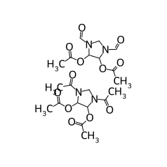 CC(=O)OC1C(OC(C)=O)N(C(C)=O)CN1C(C)=O.CC(=O)OC1C(OC(C)=O)N(C=O)CN1C=O